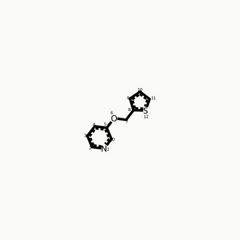 [c]1ncccc1OCc1cccs1